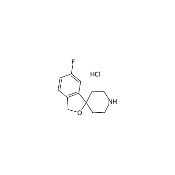 Cl.Fc1ccc2c(c1)C1(CCNCC1)OC2